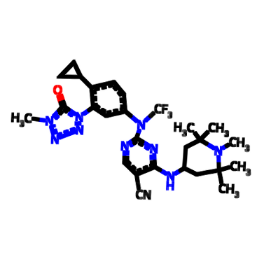 CN1C(C)(C)CC(Nc2nc(N(c3ccc(C4CC4)c(-n4nnn(C)c4=O)c3)C(F)(F)F)ncc2C#N)CC1(C)C